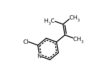 CC(C)=C(C)c1ccnc(Cl)c1